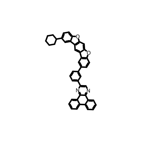 c1cc(-c2ccc3oc4cc5oc6ccc(C7CCCCC7)cc6c5cc4c3c2)cc(-c2cnc3c4ccccc4c4ccccc4c3n2)c1